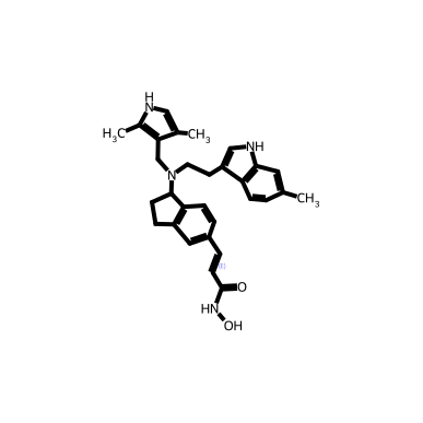 Cc1ccc2c(CCN(Cc3c(C)c[nH]c3C)C3CCc4cc(/C=C/C(=O)NO)ccc43)c[nH]c2c1